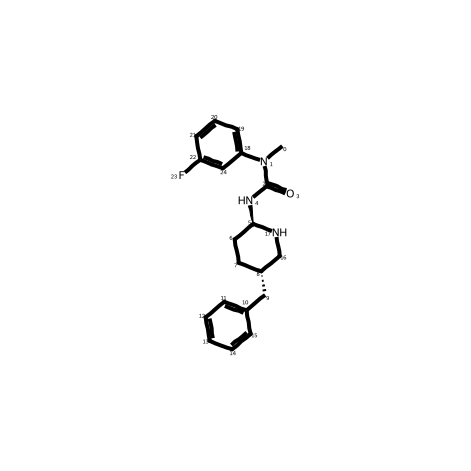 CN(C(=O)N[C@@H]1CC[C@@H](Cc2ccccc2)CN1)c1cccc(F)c1